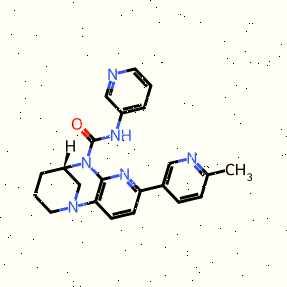 Cc1ccc(-c2ccc3c(n2)N(C(=O)Nc2cccnc2)[C@H]2CCCN3C2)cn1